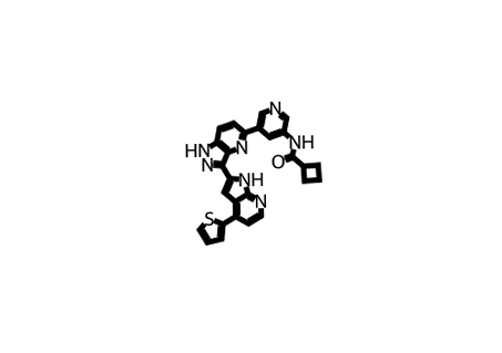 O=C(Nc1cncc(-c2ccc3[nH]nc(-c4cc5c(-c6cccs6)ccnc5[nH]4)c3n2)c1)C1CCC1